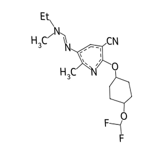 CCN(C)/C=N/c1cc(C#N)c(OC2CCC(OC(F)F)CC2)nc1C